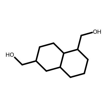 OCC1CCC2C(CO)CCCC2C1